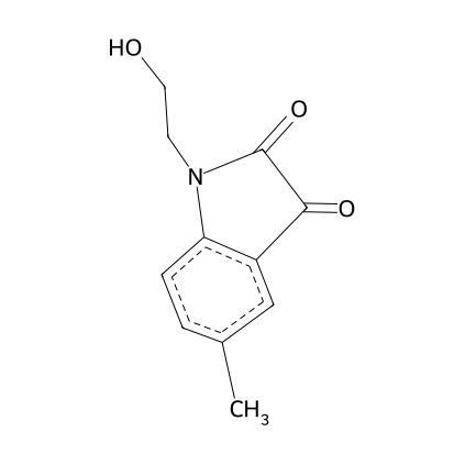 Cc1ccc2c(c1)C(=O)C(=O)N2CCO